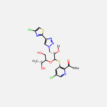 CCO[C@@H](Cn1cc(-c2nc(Cl)cs2)nn1)C(OC(CO)[C@@H](C)O)Sc1cc(Cl)cnc1C(=O)NC